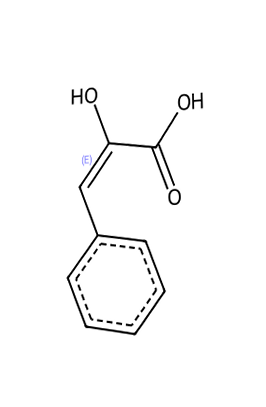 O=C(O)/C(O)=C\c1ccccc1